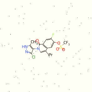 Cc1[nH]nc(Cl)c1-n1cc(C(C)C)c2cc(OS(=O)(=O)C(F)(F)F)c(F)cc2c1=O